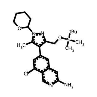 Cc1c(-c2cc(Cl)c3cnc(N)cc3c2)c(CO[Si](C)(C)C(C)(C)C)nn1C1CCCCO1